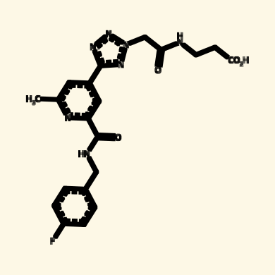 Cc1cc(-c2nnn(CC(=O)NCCC(=O)O)n2)cc(C(=O)NCc2ccc(F)cc2)n1